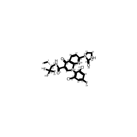 CC[C@H](NC(=O)c1cn(-c2c(Cl)cc(F)cc2Cl)c2nc(N3CCNC3=O)ccc2c1=O)C(F)(F)F